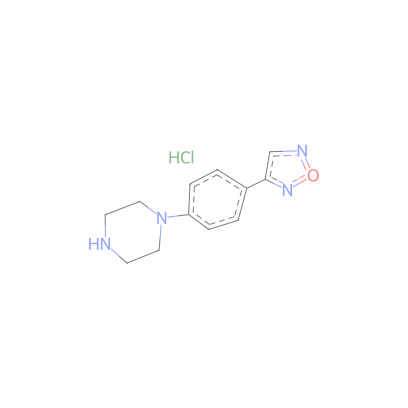 Cl.c1cc(N2CCNCC2)ccc1-c1cnon1